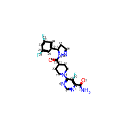 NC(=O)c1ncnc(N2CCC(C(=O)N3N=CCC3c3cc(F)cc(F)c3)CC2)c1F